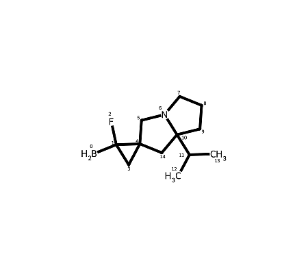 BC1(F)CC12CN1CCCC1(C(C)C)C2